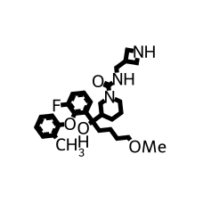 COCCCCC(O)(c1cccc(F)c1Oc1ccccc1C)C1CCCN(C(=O)NCC2CNC2)C1